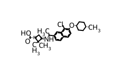 CC(N[C@H]1C[C@@H](C(=O)O)C1(C)C)c1ccc2ccc(O[C@H]3CC[C@@H](C)CC3)c(Cl)c2c1